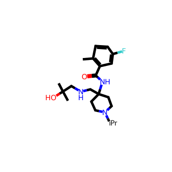 Cc1ccc(F)cc1C(=O)NC1(CNCC(C)(C)O)CCN(C(C)C)CC1